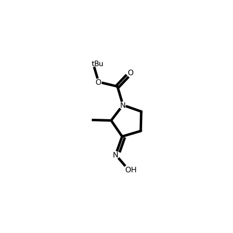 CC1C(=NO)CCN1C(=O)OC(C)(C)C